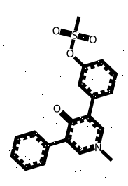 Cn1cc(-c2ccccc2)c(=O)c(-c2cccc(OS(C)(=O)=O)c2)c1